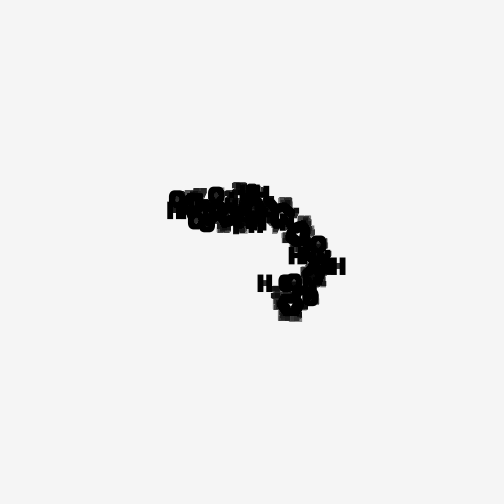 [2H]C1([2H])N(CC2CCN(c3ccc(C(=O)Nc4n[nH]c5c4CN(C(=O)[C@H](OC)c4ccccc4)C5)cc3)CC2)C([2H])([2H])C([2H])([2H])N(c2cc3c(cc2F)C(=O)N(C2CCC(=O)NC2=O)C3=O)C1([2H])[2H]